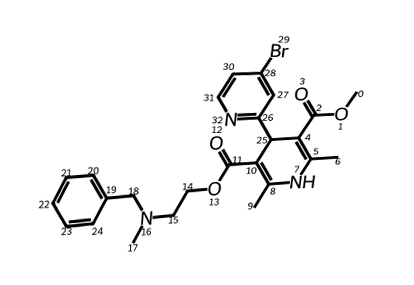 COC(=O)C1=C(C)NC(C)=C(C(=O)OCCN(C)Cc2ccccc2)C1c1cc(Br)ccn1